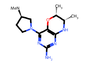 CN[C@@H]1CCN(c2nc(N)nc3c2O[C@H](C)[C@H](C)N3)C1